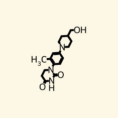 Cc1cc(N2CCC(CO)CC2)ccc1N1CCC(=O)NC1=O